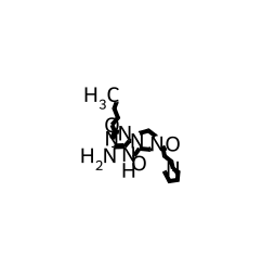 CCCCOc1nc(N)c2c(n1)N1CCCN(C(=O)CCN3CCCC3)CC1C(=O)N2